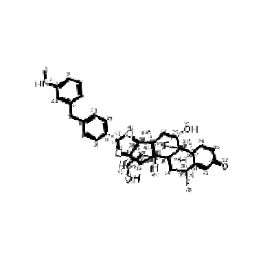 CNc1cccc(Cc2ccc([C@H]3O[C@@H]4C[C@H]5[C@@H]6C[C@H](F)C7=CC(=O)C=C[C@]7(C)[C@@]6(F)[C@@H](O)C[C@]5(C)[C@]4(C(=O)CO)O3)cc2)c1